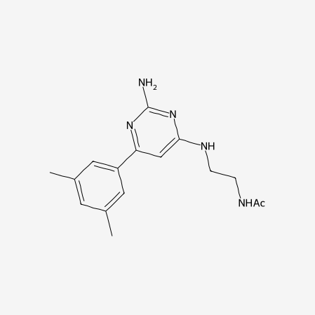 CC(=O)NCCNc1cc(-c2cc(C)cc(C)c2)nc(N)n1